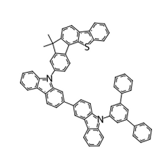 CC1(C)c2cc(-n3c4ccccc4c4ccc(-c5ccc6c(c5)c5ccccc5n6-c5cc(-c6ccccc6)cc(-c6ccccc6)c5)cc43)ccc2-c2c1ccc1c2sc2ccccc21